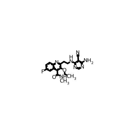 CCOc1c(CCNc2ncnc(N)c2C#N)nc2ccc(F)cc2c1C(=O)NC